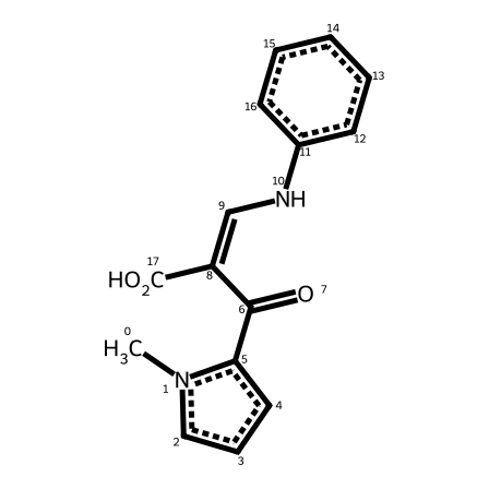 Cn1cccc1C(=O)C(=CNc1ccccc1)C(=O)O